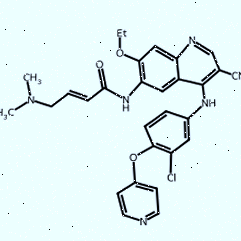 CCOc1cc2ncc(C#N)c(Nc3ccc(Oc4ccncc4)c(Cl)c3)c2cc1NC(=O)C=CCN(C)C